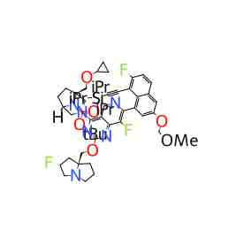 COCOc1cc(-c2ncc3c(N4C[C@@H]5CC[C@](COC6CC6)(C4)N5C(=O)OC(C)(C)C)nc(OC[C@@]45CCCN4C[C@H](F)C5)nc3c2F)c2c(C#C[Si](C(C)C)(C(C)C)C(C)C)c(F)ccc2c1